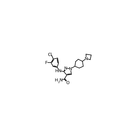 NC(=O)c1cn(C2CCC(N3CCC3)CC2)nc1Nc1ccc(Cl)c(F)c1